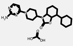 Nc1nccc(N2CCC(N3C(=O)OC4C(C5CCCCC5)CCCC43)CC2)n1.O=C(O)O